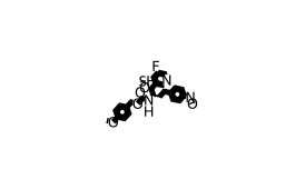 COc1ccc(COC(=O)N[C@H](CCc2ccc(N=O)cc2)[C@H](OS)c2cncc(F)c2)cc1